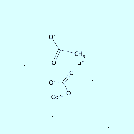 CC(=O)[O-].O=C([O-])[O-].[Co+2].[Li+]